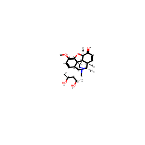 COC1=C2O[C@H]3C(=O)C=C[C@H]4[C@H]5CC(C=C1)C2[C@@]34CCN5C.C[C@H](O)C[C@H](C)O